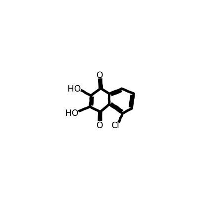 O=C1C(O)=C(O)C(=O)c2c(Cl)cccc21